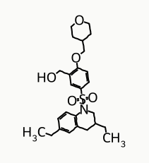 CCc1ccc2c(c1)CC(CC)CN2S(=O)(=O)c1ccc(OCC2CCOCC2)c(CO)c1